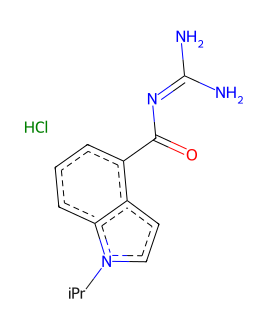 CC(C)n1ccc2c(C(=O)N=C(N)N)cccc21.Cl